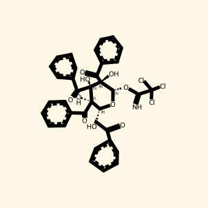 N=C(O[C@@H]1O[C@H](C(O)C(=O)c2ccccc2)[C@@](O)(C(=O)c2ccccc2)[C@@](O)(C(=O)c2ccccc2)[C@]1(O)C(=O)c1ccccc1)C(Cl)(Cl)Cl